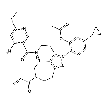 C=CC(=O)N1CCc2nn(-c3ccc(C4CC4)cc3OC(C)=O)c3c2[C@H](C1)N(C(=O)c1cnc(SC)cc1N)CC3